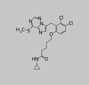 CSc1ncnn2c(Cc3c(OCCCCC(=O)NC4CC4)ccc(Cl)c3Cl)cnc12